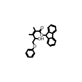 CC(C(=O)OC1c2ccccc2-c2ccccc21)=C(C)C(O)COc1ccccc1